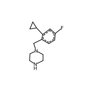 Fc1ccc(CN2CCNCC2)c(C2CC2)c1